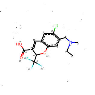 CCN(C)Cc1cc2c(cc1Cl)C=C(C(=O)O)C(C(F)(F)F)O2